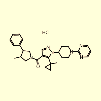 CC1CN(C(=O)c2cnn(C3CCN(c4ncccn4)CC3)c2C2(C)CC2)CC1c1ccccc1.Cl